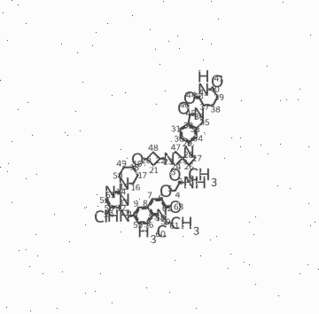 CNC(=O)COc1cc2cc(Nc3nc(N4CCC(OC5CC(N6CC7(CCN7c7ccc8c(c7)CN(C7CCC(=O)NC7=O)C8=O)C6)C5)CC4)ncc3Cl)ccc2n(C(C)C)c1=O